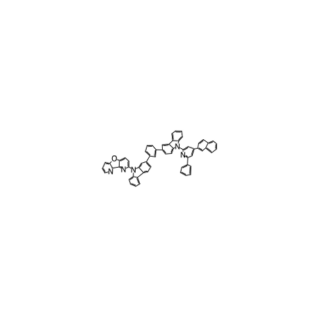 c1ccc(-c2cc(-c3ccc4ccccc4c3)cc(-n3c4ccccc4c4cc(-c5cccc(-c6ccc7c8ccccc8n(-c8ccc9oc%10cccnc%10c9n8)c7c6)c5)ccc43)n2)cc1